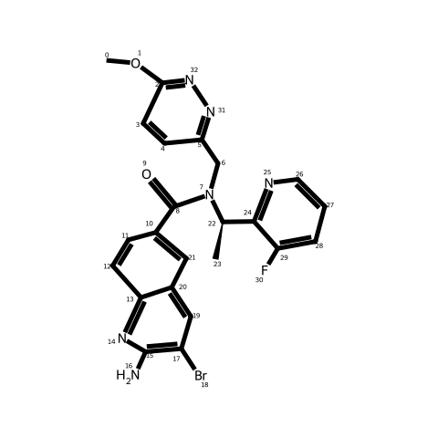 COc1ccc(CN(C(=O)c2ccc3nc(N)c(Br)cc3c2)[C@H](C)c2ncccc2F)nn1